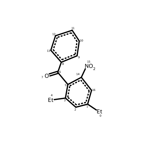 CCc1cc(CC)c(C(=O)c2ccccc2)c([N+](=O)[O-])c1